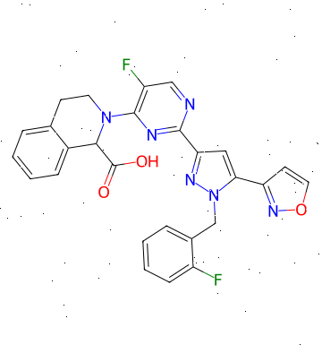 O=C(O)C1c2ccccc2CCN1c1nc(-c2cc(-c3ccon3)n(Cc3ccccc3F)n2)ncc1F